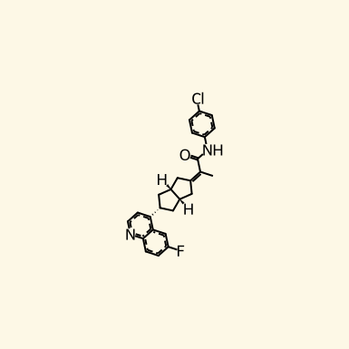 C/C(C(=O)Nc1ccc(Cl)cc1)=C1\C[C@@H]2C[C@H](c3ccnc4ccc(F)cc34)C[C@@H]2C1